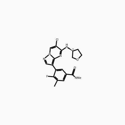 CNC(=O)c1cc(C)c(F)c(-c2cnn3cc(Cl)c(N[C@H]4CCOC4)nc23)c1